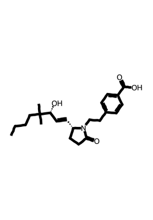 CCCCC(C)(C)[C@H](O)/C=C/[C@H]1CCC(=O)N1CCc1ccc(C(=O)O)cc1